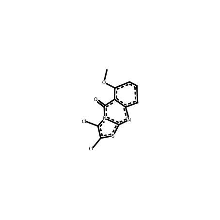 COc1cccc2nc3sc(Cl)c(Cl)n3c(=O)c12